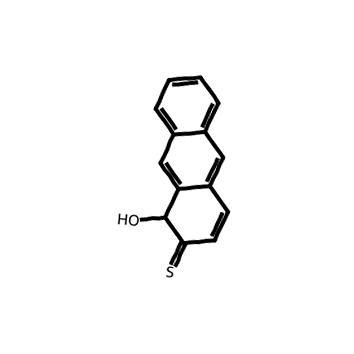 OC1C(=S)C=Cc2cc3ccccc3cc21